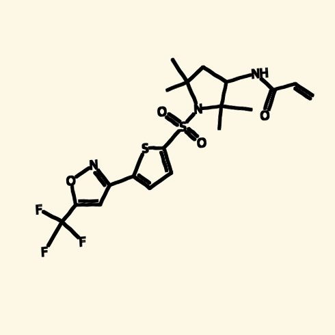 C=CC(=O)NC1CC(C)(C)N(S(=O)(=O)c2ccc(-c3cc(C(F)(F)F)on3)s2)C1(C)C